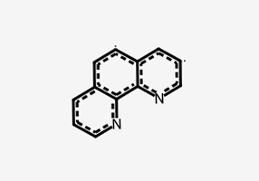 [c]1cnc2c([c]cc3cccnc32)c1